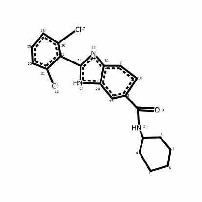 O=C(NC1CCCCC1)c1ccc2nc(-c3c(Cl)cccc3Cl)[nH]c2c1